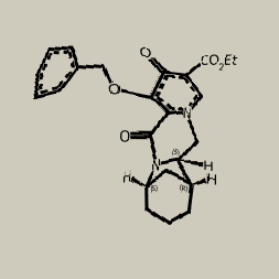 CCOC(=O)c1cn2c(c(OCc3ccccc3)c1=O)C(=O)N1[C@H]3CCC[C@H](C3)[C@H]1C2